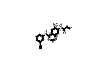 C#Cc1cccc(Nc2ncnc3cc(NC(=O)C=C)c([N+](=O)[O-])cc23)c1